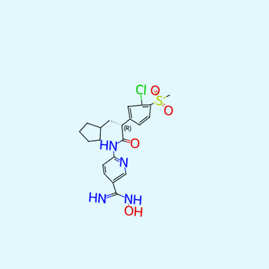 CS(=O)(=O)c1ccc([C@@H](CC2CCCC2)C(=O)Nc2ccc(C(=N)NO)cn2)cc1Cl